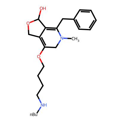 CCCCNCCCCOC1=C2COC(O)C2=C(Cc2ccccc2)N(C)C1